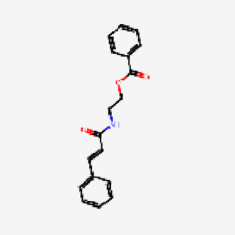 O=C(C=Cc1ccccc1)NCCOC(=O)c1ccccc1